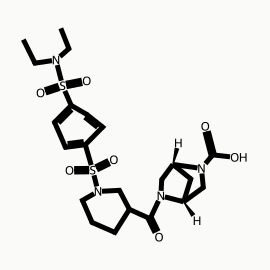 CCN(CC)S(=O)(=O)c1ccc(S(=O)(=O)N2CCCC(C(=O)N3C[C@H]4C[C@@H]3CN4C(=O)O)C2)cc1